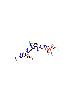 CCC(=O)OCC(CN1CCC(Nc2cccc3c2cc(C#CCNc2ccc(C(=O)NC)cc2OC)n3CC(F)(F)F)CC1)OC(=O)CC